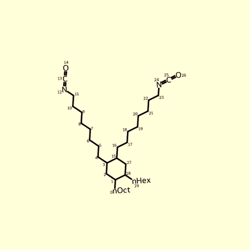 CCCCCCCCC1CC(CCCCCCCCN=C=O)C(CCCCCCCCN=C=O)CC1CCCCCC